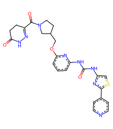 O=C1CCC(C(=O)N2CCC(COc3cccc(NC(=O)Nc4csc(-c5ccncc5)n4)n3)C2)=NN1